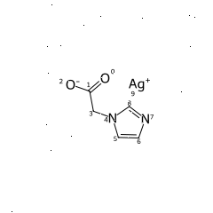 O=C([O-])Cn1ccnc1.[Ag+]